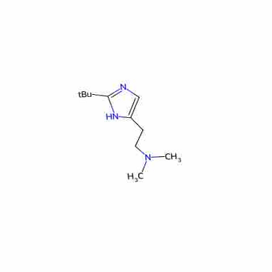 CN(C)CCc1cnc(C(C)(C)C)[nH]1